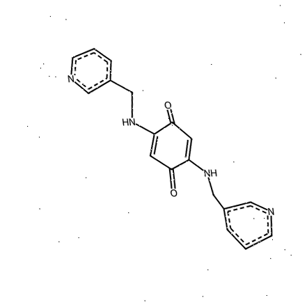 O=C1C=C(NCc2cccnc2)C(=O)C=C1NCc1cccnc1